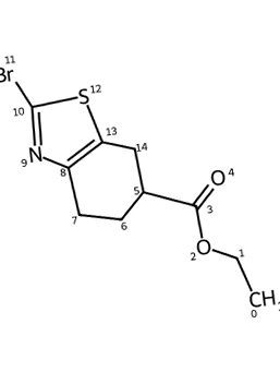 CCOC(=O)C1CCc2nc(Br)sc2C1